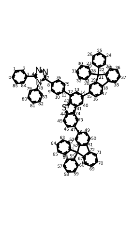 c1ccc(-c2nnc(-c3ccc(-c4cc(-c5ccc6c(c5)C(c5ccccc5)(c5ccccc5)c5ccccc5-6)cc5c4sc4ccc(-c6ccc7c(c6)C(c6ccccc6)(c6ccccc6)c6ccccc6-7)cc45)cc3)n2-c2ccccc2)cc1